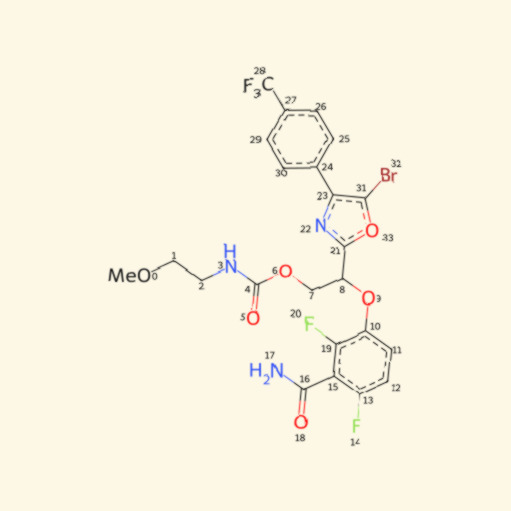 COCCNC(=O)OCC(Oc1ccc(F)c(C(N)=O)c1F)c1nc(-c2ccc(C(F)(F)F)cc2)c(Br)o1